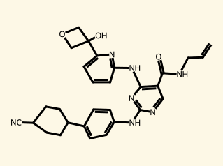 C=CCNC(=O)c1cnc(Nc2ccc(C3CCC(C#N)CC3)cc2)nc1Nc1cccc(C2(O)COC2)n1